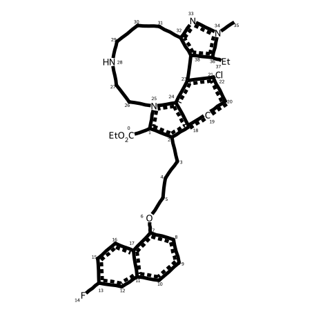 CCOC(=O)c1c(CCCOc2cccc3cc(F)ccc23)c2ccc(Cl)c3c2n1CCNCCCc1nn(C)c(CC)c1-3